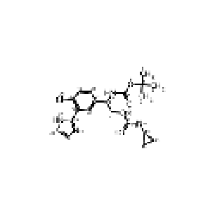 CC(C)(C)OC(=O)NC(COC(=O)NC1CC1)c1ccc(Cl)c(-c2ncn[nH]2)c1